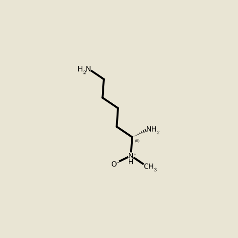 C[NH+]([O-])[C@@H](N)CCCCN